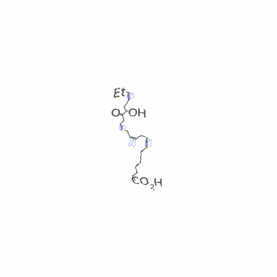 CC/C=C\CC(O)C(=O)C/C=C\C/C=C\C/C=C\CCCCCC(=O)O